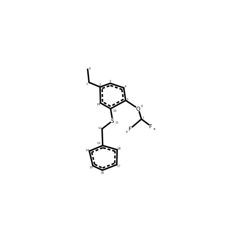 CCc1ccc(OC(F)F)c(SCc2ccccc2)c1